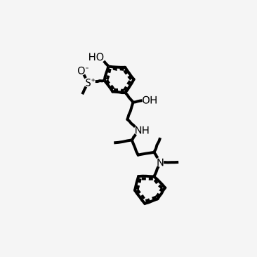 CC(CC(C)N(C)c1ccccc1)NCC(O)c1ccc(O)c([S+](C)[O-])c1